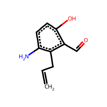 C=CCc1c(N)ccc(O)c1C=O